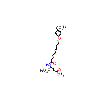 NC(=O)CC[C@H](NC(=O)CCCCCCCCCOc1ccc(C(=O)O)cc1)C(=O)O